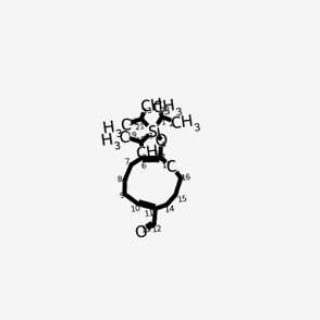 CC(C)[Si](O/C1=C/CCC/C=C(/C=O)CCCC1)(C(C)C)C(C)C